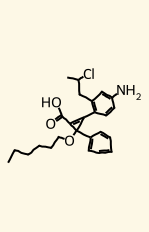 CCCCCCOC1(c2ccccc2)C(C(=O)O)=C1c1ccc(N)cc1CC(C)Cl